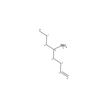 C=CCCC(N)CCC